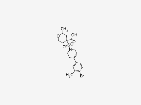 Cc1cc(C2=CCN(S(=O)(=O)C3(C(=O)O)CCOC(C)C3)CC2)ccc1Br